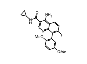 COc1ccc(OC)c(-c2c(F)ccc3c(N)c(C(=O)NC4CC4)nnc23)c1